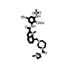 COc1c(NC(=O)c2cc3cccc(CN4CCCN(C(=O)[C@@H]5CCN(C)C5)CC4)c3n2C)cc(C(C)(C)C)cc1NS(C)(=O)=O